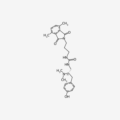 Cc1ccc(C)c2c1C(=O)N(CCCNC(=O)NC[C@H](Cc1ccc(O)cc1)N(C)C)C2=O